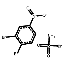 CS(=O)(=O)Br.O=[N+]([O-])c1ccc(Br)c(Br)c1